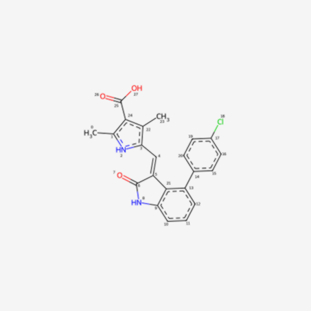 Cc1[nH]c(C=C2C(=O)Nc3cccc(-c4ccc(Cl)cc4)c32)c(C)c1C(=O)O